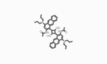 CCCN(CCC)c1cc(NC(C)=O)c(C2C(O)C(c3c(NC(C)=O)cc(N(CCC)CCC)c4cc5ccccc5cc34)C2O)c2cc3ccccc3cc12